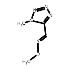 CON=Cc1nnnn1C